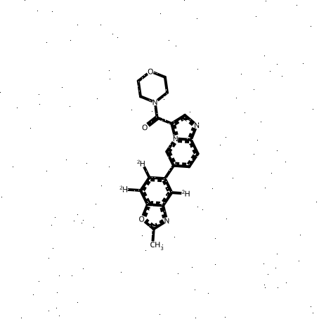 [2H]c1c(-c2ccc3ncc(C(=O)N4CCOCC4)n3c2)c([2H])c2nc(C)oc2c1[2H]